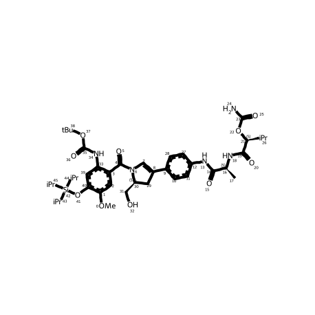 COc1cc(C(=O)N2C=C(c3ccc(NC(=O)[C@H](C)NC(=O)[C@@H](OC(N)=O)C(C)C)cc3)C[C@H]2CO)c(NC(=O)OC(C)(C)C)cc1O[Si](C(C)C)(C(C)C)C(C)C